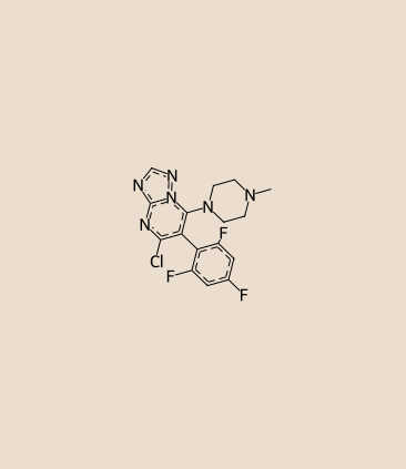 CN1CCN(c2c(-c3c(F)cc(F)cc3F)c(Cl)nc3ncnn23)CC1